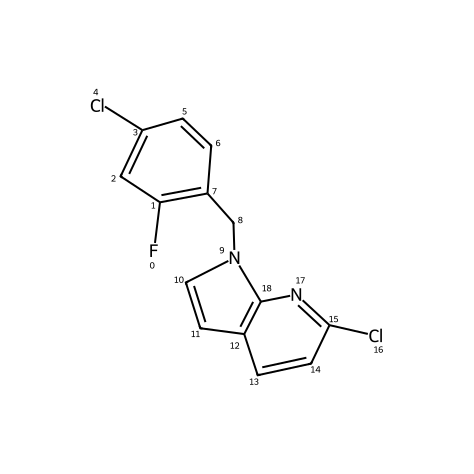 Fc1cc(Cl)ccc1Cn1ccc2ccc(Cl)nc21